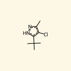 Cc1n[nH]c(C(C)(C)C)c1Cl